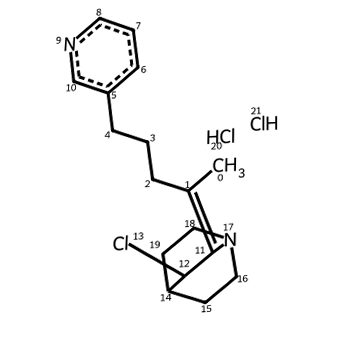 CC(CCCc1cccnc1)=C1C(Cl)C2CCN1CC2.Cl.Cl